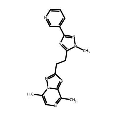 Cc1ncc(C)n2nc(CCc3nc(-c4cccnc4)nn3C)nc12